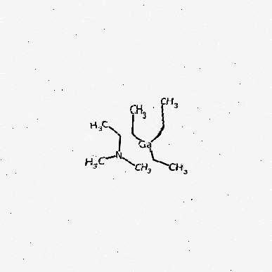 CCN(C)C.C[CH2][Ga]([CH2]C)[CH2]C